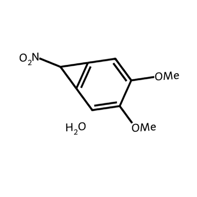 COc1cc2c(cc1OC)C2[N+](=O)[O-].O